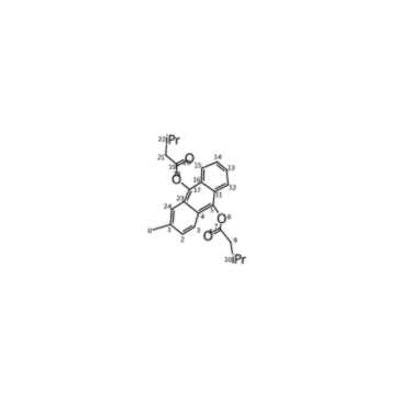 Cc1ccc2c(OC(=O)CC(C)C)c3ccccc3c(OC(=O)CC(C)C)c2c1